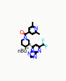 CCCC[C@H]1CCN(C(=O)c2cc(C)nc(C)c2)C[C@@H]1c1cc(C(F)F)nc2ncnn12